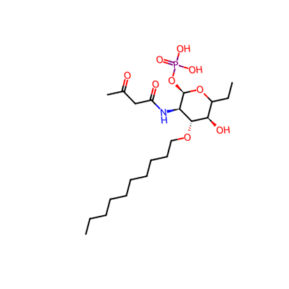 CCCCCCCCCCO[C@@H]1[C@@H](NC(=O)CC(C)=O)[C@@H](OP(=O)(O)O)OC(CC)[C@H]1O